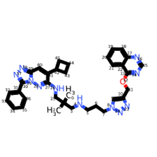 CC(C)(CNCCCn1cc(COc2ncnc3ccccc23)nn1)CNc1nn2c(-c3ccccc3)nnc2cc1C1CCC1